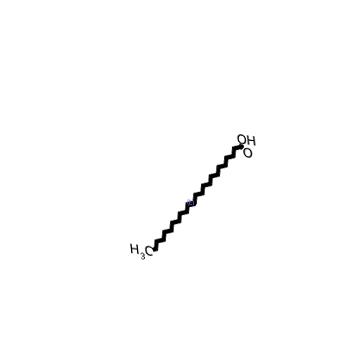 CCCCCCCCCC/C=C/CCCCCCCCCCCC(=O)O